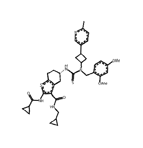 COc1ccc(CN(C(=S)N[C@H]2CCc3sc(NC(=O)C4CC4)c(C(=O)NCC4CC4)c3C2)C2CC(c3ccc(C)nc3)C2)c(OC)c1